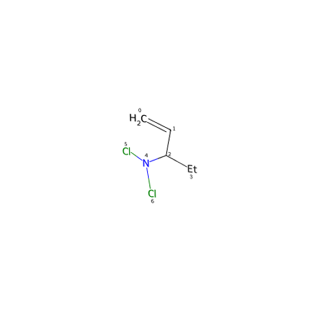 C=CC(CC)N(Cl)Cl